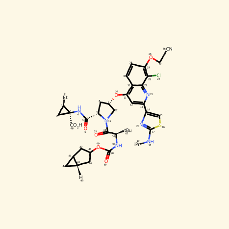 CC[C@@H]1C[C@@]1(NC(=O)[C@@H]1C[C@H](Oc2cc(-c3csc(NC(C)C)n3)nc3c(Cl)c(OCC#N)ccc23)CN1C(=O)[C@H](NC(=O)OC1CC2C[C@H]2C1)C(C)(C)C)C(=O)O